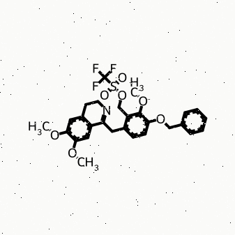 COc1cc2c(cc1OC)C(Cc1ccc(OCc3ccccc3)c(OC)c1COS(=O)(=O)C(F)(F)F)=NCC2